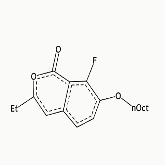 CCCCCCCCOc1ccc2cc(CC)oc(=O)c2c1F